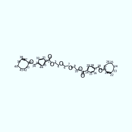 O=C(OCCOCCOCCOC(=O)c1ccc(COC2C#CCCCCC2)cc1)c1ccc(COC2C#CCCCCC2)cc1